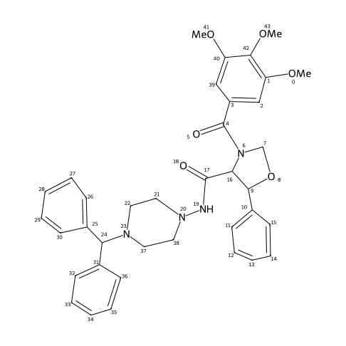 COc1cc(C(=O)N2COC(c3ccccc3)C2C(=O)NN2CCN(C(c3ccccc3)c3ccccc3)CC2)cc(OC)c1OC